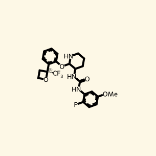 COc1ccc(F)c(NC(=O)NC2CCCNC2Oc2ccccc2[C@]2(C(F)(F)F)CCO2)c1